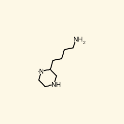 NCCCCC1CNCC[N]1